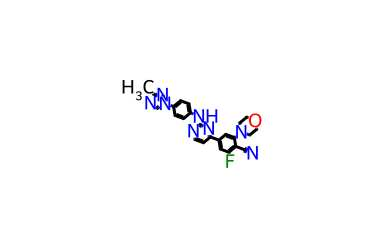 Cc1ncn(-c2ccc(Nc3nccc(-c4cc(F)c(C#N)c(N5CCOCC5)c4)n3)cc2)n1